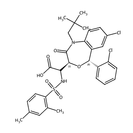 Cc1ccc(S(=O)(=O)NC(C(=O)O)[C@@H]2O[C@@H](c3ccccc3Cl)c3cc(Cl)ccc3N(CC(C)(C)C)C2=O)c(C)c1